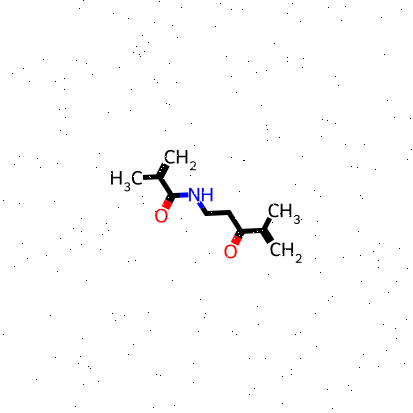 C=C(C)C(=O)CCNC(=O)C(=C)C